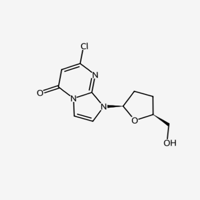 O=c1cc(Cl)nc2n([C@H]3CC[C@@H](CO)O3)ccn12